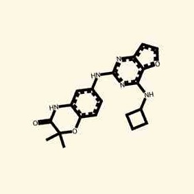 CC1(C)Oc2ccc(Nc3nc(NC4CCC4)c4occc4n3)cc2NC1=O